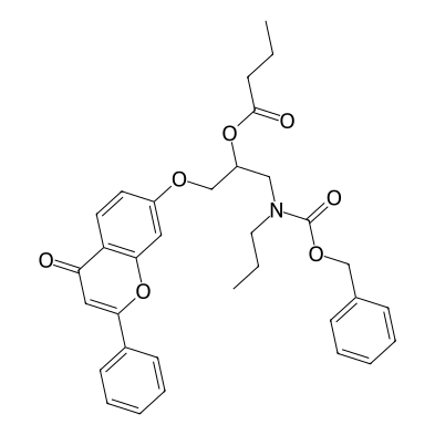 CCCC(=O)OC(COc1ccc2c(=O)cc(-c3ccccc3)oc2c1)CN(CCC)C(=O)OCc1ccccc1